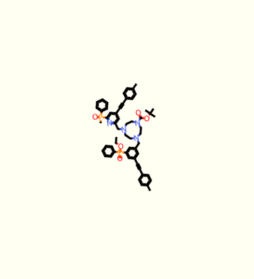 CCOP(=O)(c1ccccc1)c1cc(C#Cc2ccc(C)cc2)cc(CN2CCN(Cc3cc(C#Cc4ccc(C)cc4)cc(P(C)(=O)c4ccccc4)n3)CCN(C(=O)OC(C)(C)C)CC2)c1